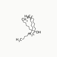 CCCCCCC(C)(O)C(CCCCCC)(CCCCCC)CCCCCC